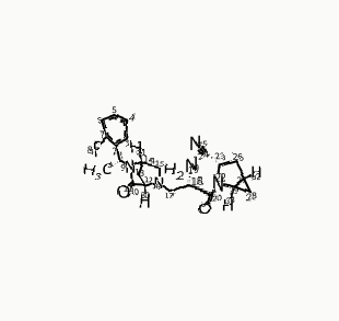 C[C@H](c1ccccc1F)N1C(=O)[C@@H]2C[C@H]1CN2C[C@H](N)C(=O)N1[C@H](C#N)C[C@@H]2C[C@@H]21